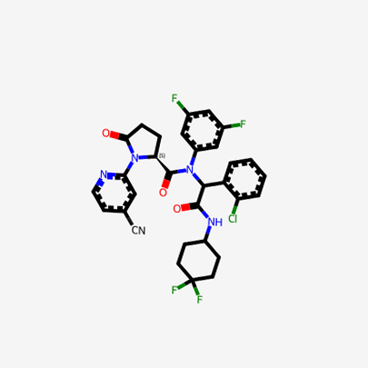 N#Cc1ccnc(N2C(=O)CC[C@H]2C(=O)N(c2cc(F)cc(F)c2)C(C(=O)NC2CCC(F)(F)CC2)c2ccccc2Cl)c1